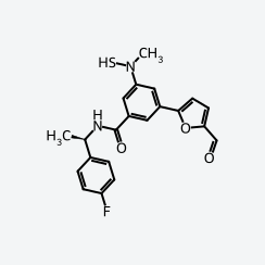 C[C@@H](NC(=O)c1cc(-c2ccc(C=O)o2)cc(N(C)S)c1)c1ccc(F)cc1